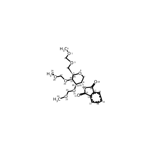 COCOC[C@H]1OC[C@H](N2C(=O)c3ccccc3C2=O)[C@@H](OCOC)[C@H]1OCOC